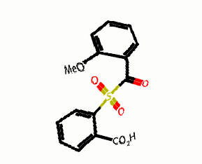 COc1ccccc1C(=O)S(=O)(=O)c1ccccc1C(=O)O